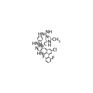 CC1CN(C(=N)Nc2ccc(Nc3ncc4c(n3)C=c3cc(Cl)cc(-c5c(F)cccc5F)c3=CN4)cc2)CC(C)N1